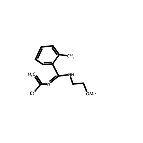 C=C(CC)/N=C(/NCCOC)c1ccccc1C